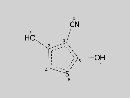 N#Cc1c(O)csc1O